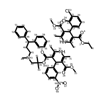 CCOC(=O)C1=C(C)NC(C)=C(C(=O)OC)C1c1cccc(Cl)c1Cl.COC(=O)C1=C(C)NC(C)=C(C(=O)OC(C)(C)CN(C)CCC(c2ccccc2)c2ccccc2)C1c1cccc([N+](=O)[O-])c1